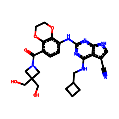 N#Cc1c[nH]c2nc(Nc3ccc(C(=O)N4CC(CO)(CO)C4)c4c3OCCO4)nc(NCC3CCC3)c12